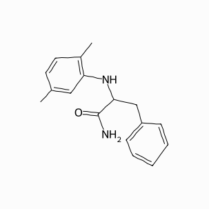 Cc1ccc(C)c(NC(Cc2ccccc2)C(N)=O)c1